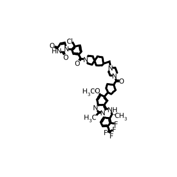 COc1cc2nc(C)nc(N[C@H](C)c3cccc(C(F)(F)F)c3F)c2cc1C1CCC(C(=O)N2CCN(CC3CCC4(CC3)CCN(C(=O)c3ccc(Cl)c(-n5ccc(=O)[nH]c5=O)c3)CC4)CC2)CC1